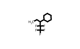 CCC(C1CCCCC1)C(F)(F)C(F)(F)F